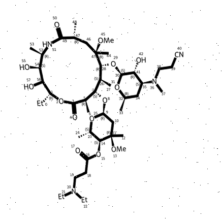 CC[C@H]1OC(=O)[C@H](C)[C@@H](O[C@H]2C[C@@](C)(OC)[C@@H](OC(=O)CCN(CC)CC)[C@H](C)O2)[C@H](C)[C@@H](O[C@@H]2O[C@H](C)C[C@H](N(C)CCC#N)[C@H]2O)[C@](C)(OC)C[C@@H](C)C(=O)N[C@H](C)[C@H](O)C1O